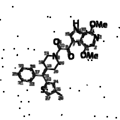 COc1ncc(OC)c2c(C(=O)C(=O)N3CCC(=C(c4ccccc4)c4cc(C)cs4)CC3)c[nH]c12